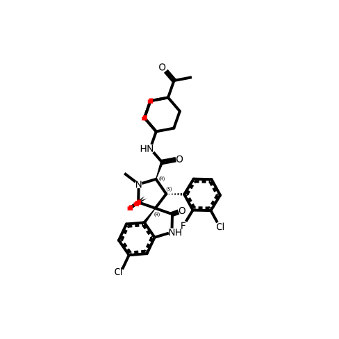 CC(=O)C12CCC(NC(=O)[C@H]3[C@H](c4cccc(Cl)c4F)[C@]4(C(=O)Nc5cc(Cl)ccc54)C4(CCCCC4)N3C)(CC1)CC2